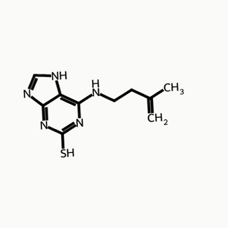 C=C(C)CCNc1nc(S)nc2nc[nH]c12